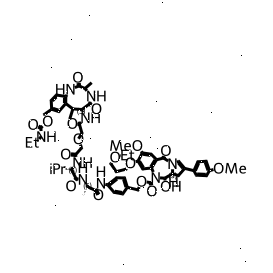 CCNC(=O)OCc1ccc2c(c1)C(C)[C@H](NC(=O)COCC(=O)N[C@H](C(=O)N[C@@H](C)C(=O)Nc1ccc(COC(=O)N3c4cc(OCCCOCC)c(OC)cc4C(=O)N4C=C(c5ccc(OC)cc5)C[C@H]4C3O)cc1)C(C)C)C(=O)NC(C)C(=O)N2